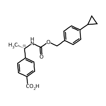 C[C@H](NC(=O)OCc1ccc(C2CC2)cc1)c1ccc(C(=O)O)cc1